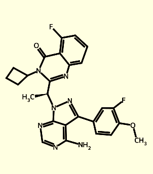 COc1ccc(-c2nn([C@@H](C)c3nc4cccc(F)c4c(=O)n3C3CCC3)c3ncnc(N)c23)cc1F